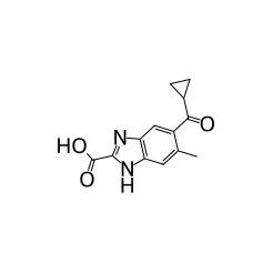 Cc1cc2[nH]c(C(=O)O)nc2cc1C(=O)C1CC1